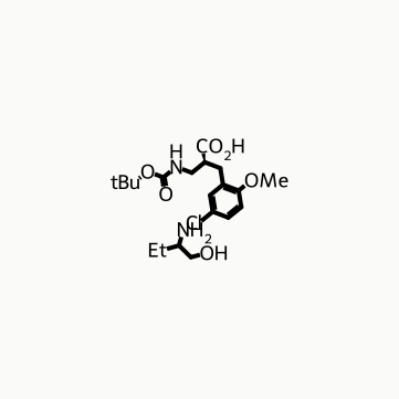 CCC(N)CO.COc1ccc(Cl)cc1C[C@@H](CNC(=O)OC(C)(C)C)C(=O)O